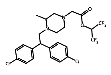 CC1CN(CC(=O)OC(C(F)(F)F)C(F)(F)F)CCN1CC(c1ccc(Cl)cc1)c1ccc(Cl)cc1